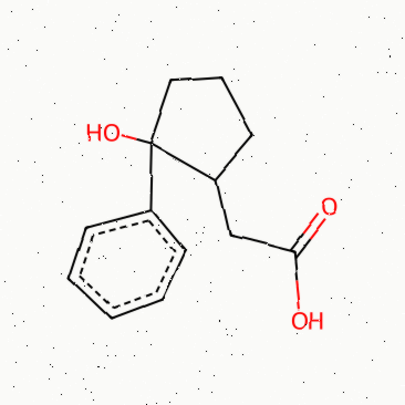 O=C(O)CC1CCCC1(O)c1ccccc1